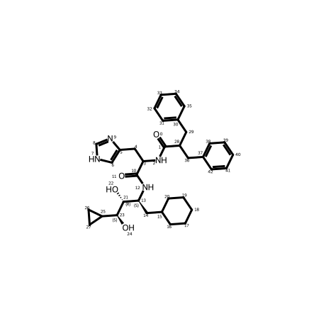 O=C(NC(Cc1c[nH]cn1)C(=O)N[C@@H](CC1CCCCC1)[C@@H](O)[C@@H](O)C1CC1)C(Cc1ccccc1)Cc1ccccc1